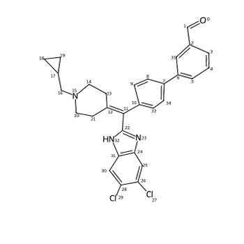 O=Cc1cccc(-c2ccc(C(=C3CCN(CC4CC4)CC3)c3nc4cc(Cl)c(Cl)cc4[nH]3)cc2)c1